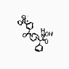 O=C(NO)C(c1ccccc1)N1CCN(C(=O)c2cccc([N+](=O)[O-])c2)CC1